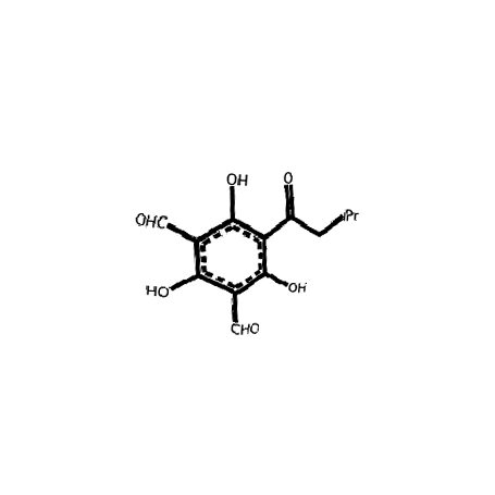 CC(C)CC(=O)c1c(O)c(C=O)c(O)c(C=O)c1O